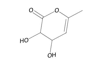 CC1=CC(O)C(O)C(=O)O1